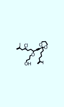 C=C(I)CCCCC1(C#CC(CC[C@@H](Cl)CC(=C)I)OCCCO)OCCCO1